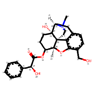 CN1CC[C@]23c4c5ccc(CO)c4O[C@H]2C(OC(=O)[C@@H](O)c2ccccc2)CC[C@@]3(O)[C@H]1C5